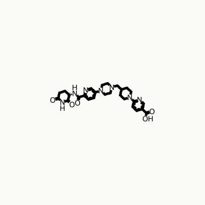 O=C1CC[C@H](NC(=O)c2ccc(N3CCN(CC4CCN(c5ccc(C(=O)O)cn5)CC4)CC3)cn2)C(=O)N1